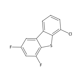 Fc1cc(F)c2sc3c(Cl)cccc3c2c1